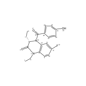 CC[C@H]1C(=O)N(CC)c2ccc(F)cc2N1C(=O)c1ccc(O)cc1